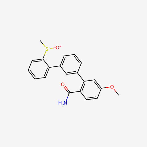 COc1ccc(C(N)=O)c(-c2cccc(-c3ccccc3[S+](C)[O-])c2)c1